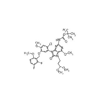 COc1cc(Cl)c(-n2c(=O)n(CCC(OC)OC)c3c(OC)nc(NC(=O)OC(C)(C)C)nc32)cc1OCc1c(OC)ccc(F)c1F